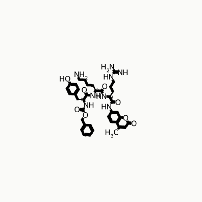 Cc1cc(=O)oc2cc(NC(=O)[C@H](CCCNC(=N)N)NC(=O)[C@H](CCCCN)NC(=O)[C@H](Cc3ccc(O)cc3)NC(=O)OCc3ccccc3)ccc12